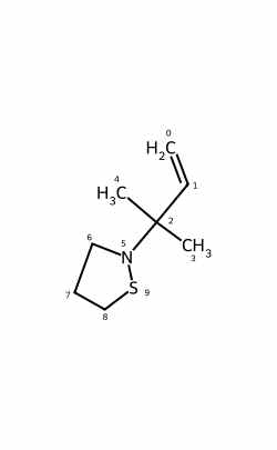 C=CC(C)(C)N1CCCS1